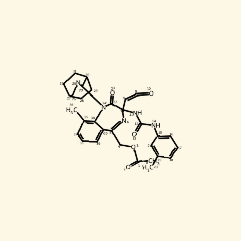 CC(=O)OCC1=NC(C=C=O)(NC(=O)Nc2cccc(C)c2)C(=O)N(N2CC3CCC(CC3)C2)c2c(C)cccc21